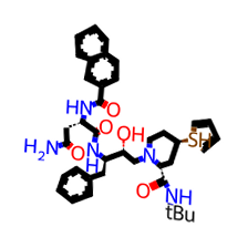 CC(C)(C)NC(=O)[C@H]1C[C@H]([SH]2C=CC=C2)CCN1C[C@@H](O)[C@@H](Cc1ccccc1)NC(=O)[C@H](CC(N)=O)NC(=O)c1ccc2ccccc2c1